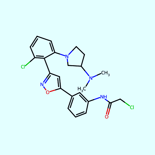 CN(C)C1CCN(c2cccc(Cl)c2-c2cc(-c3cccc(NC(=O)CCl)c3)on2)C1